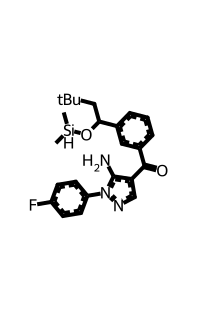 C[SiH](C)OC(CC(C)(C)C)c1cccc(C(=O)c2cnn(-c3ccc(F)cc3)c2N)c1